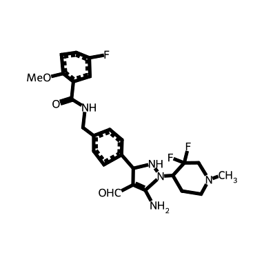 COc1ccc(F)cc1C(=O)NCc1ccc(C2NN(C3CCN(C)CC3(F)F)C(N)=C2C=O)cc1